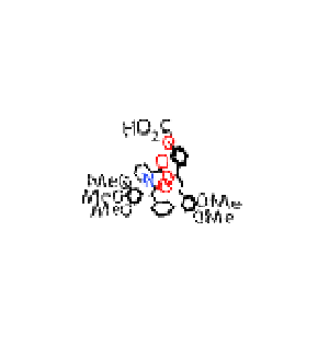 COc1ccc(CCC(OC(=O)[C@@H]2CCCCN2C(=O)[C@H](c2cc(OC)c(OC)c(OC)c2)C2CCCCC2)c2cccc(OCC(=O)O)c2)cc1OC